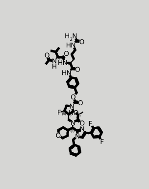 CC(=O)N[C@H](C(=O)N[C@@H](CCCNC(N)=O)C(=O)Nc1ccc(COC(=O)N2C[C@@H](CN(C(=O)[C@H](C)O)[C@@H](c3nc(-c4cc(F)ccc4F)cn3Cc3ccccc3)C3CCOCC3)[C@@H](F)C2)cc1)C(C)C